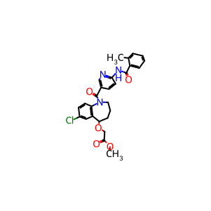 COC(=O)COC1CCCN(C(=O)c2ccc(NC(=O)c3ccccc3C)nc2)c2ccc(Cl)cc21